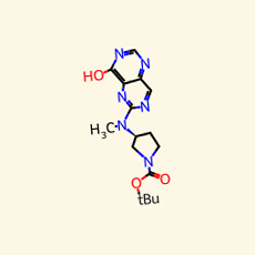 CN(c1ncc2ncnc(O)c2n1)[C@H]1CCN(C(=O)OC(C)(C)C)C1